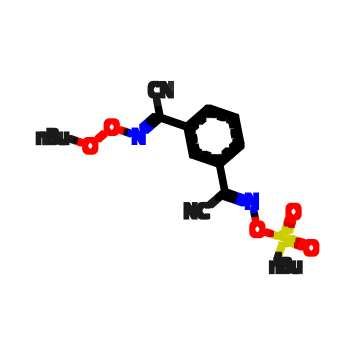 CCCCOON=C(C#N)c1cccc(C(C#N)=NOS(=O)(=O)CCCC)c1